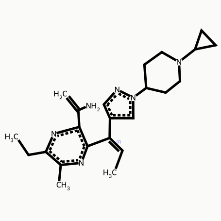 C=C(N)c1nc(CC)c(C)nc1/C(=C\C)c1cnn(C2CCN(C3CC3)CC2)c1